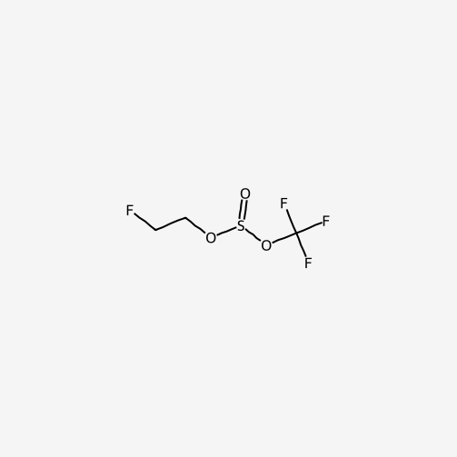 O=S(OCCF)OC(F)(F)F